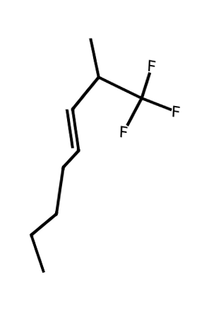 CCCCC=CC(C)C(F)(F)F